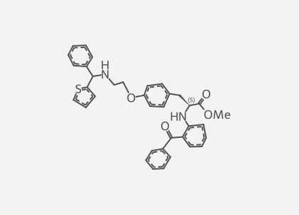 COC(=O)[C@H](Cc1ccc(OCCNC(c2ccccc2)c2cccs2)cc1)Nc1ccccc1C(=O)c1ccccc1